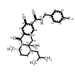 CC(C)CN1CC[C@H](C)N2C(=O)c3cc(=O)c(C(=O)NCc4ccc(F)cc4)cn3C[C@]12O